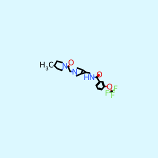 CC1CCN(C(=O)CN2CC3C(CNC(=O)c4cccc(OC(F)(F)F)c4)C3C2)CC1